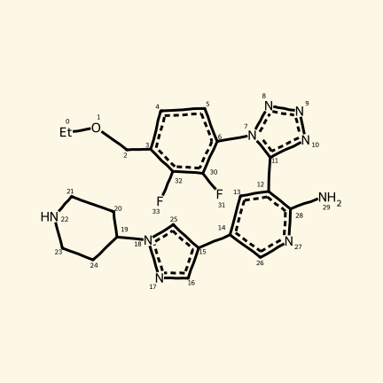 CCOCc1ccc(-n2nnnc2-c2cc(-c3cnn(C4CCNCC4)c3)cnc2N)c(F)c1F